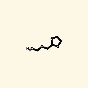 CCOCC1OCCS1